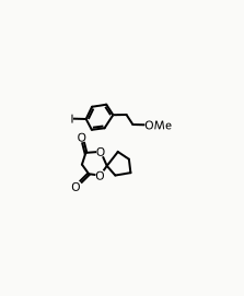 COCCc1ccc(I)cc1.O=C1CC(=O)OC2(CCCC2)O1